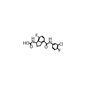 O=C(O)NC1CCc2c(C(=O)Nc3ccc(F)c(Cl)c3)ccc(F)c21